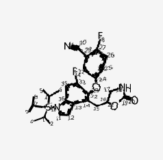 CC(C)[Si](C(C)C)(C(C)C)n1ccc2c(CC3CNC(=O)O3)c(Oc3ccc(F)c(C#N)c3)c(F)cc21